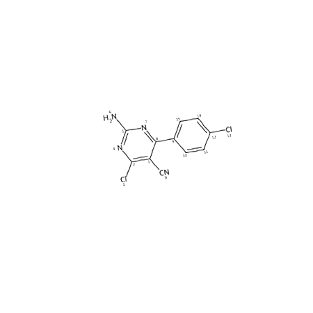 N#Cc1c(Cl)nc(N)nc1-c1ccc(Cl)cc1